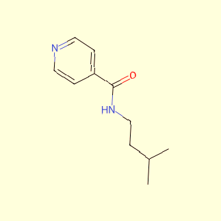 CC(C)CCNC(=O)c1ccncc1